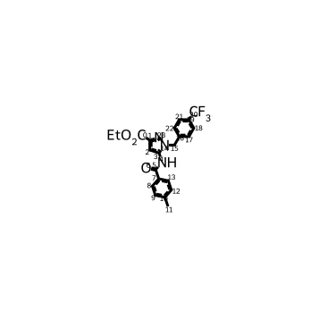 CCOC(=O)c1cc(NC(=O)c2ccc(C)cc2)n(Cc2ccc(C(F)(F)F)cc2)n1